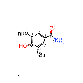 CCCCc1cc(C(N)=O)cc(CCCC)c1O